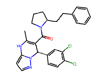 CC1=C(C(=O)N2CCCC2CCc2ccccc2)C(c2ccc(Cl)c(Cl)c2)n2nccc2N1